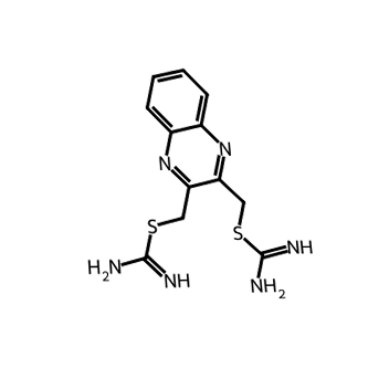 N=C(N)SCc1nc2ccccc2nc1CSC(=N)N